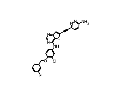 Nc1ccc(C#Cc2cc3ncnc(Nc4ccc(OCc5cccc(F)c5)c(Cl)c4)c3s2)nn1